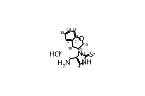 Cl.NCc1c[nH]c(=S)n1[C@H]1COc2ccccc2C1